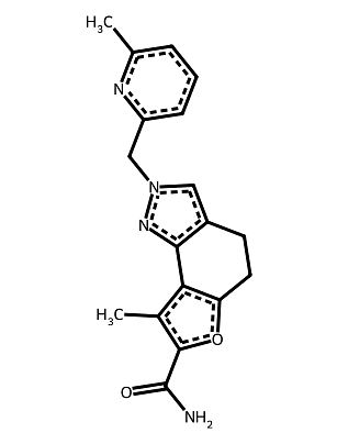 Cc1cccc(Cn2cc3c(n2)-c2c(oc(C(N)=O)c2C)CC3)n1